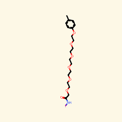 Cc1ccc(OCCOCCOCCOCCOCCOCC(=O)NI)cc1